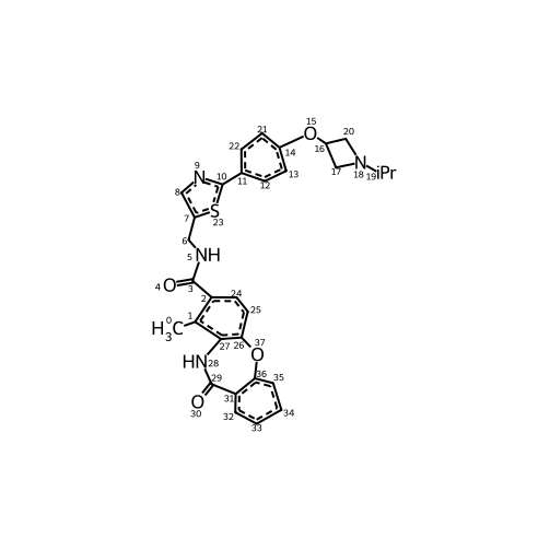 Cc1c(C(=O)NCc2cnc(-c3ccc(OC4CN(C(C)C)C4)cc3)s2)ccc2c1NC(=O)c1ccccc1O2